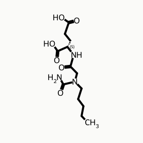 CCCCCN(CC(=O)N[C@@H](CCC(=O)O)C(=O)O)C(N)=O